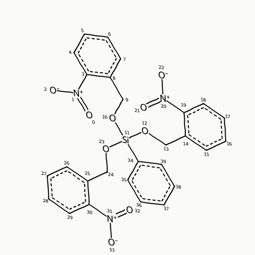 O=[N+]([O-])c1ccccc1CO[Si](OCc1ccccc1[N+](=O)[O-])(OCc1ccccc1[N+](=O)[O-])c1ccccc1